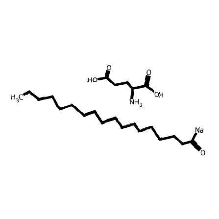 CCCCCCCCCCCCCCCCC[C](=O)[Na].NC(CCC(=O)O)C(=O)O